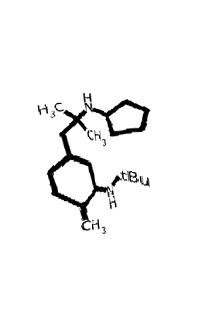 CC1CCC(CC(C)(C)NC2CCCC2)CC1NC(C)(C)C